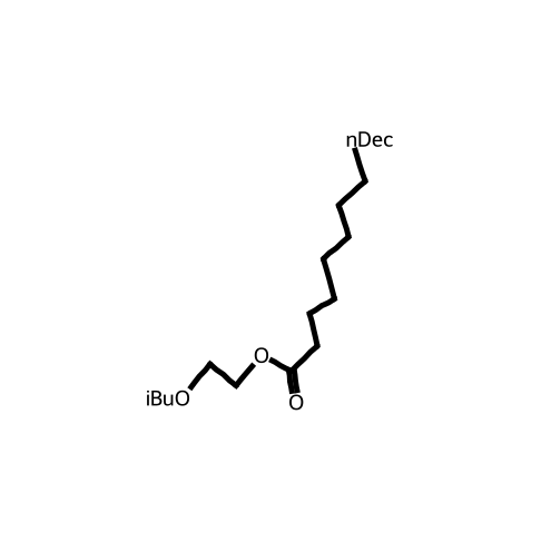 CCCCCCCCCCCCCCCCCC(=O)OCCOCC(C)C